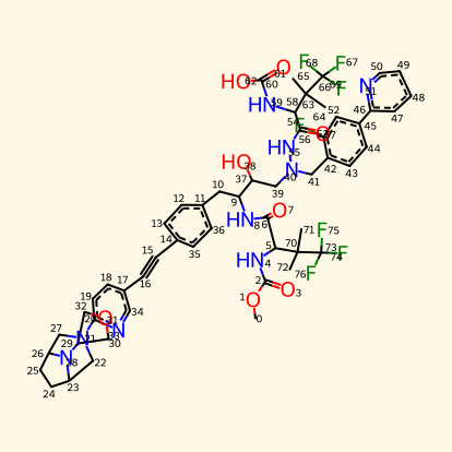 COC(=O)NC(C(=O)NC(Cc1ccc(C#Cc2ccc(N3CC4CCC(C3)N4C3COC3)nc2)cc1)C(O)CN(Cc1ccc(-c2ccccn2)cc1F)NC(=O)C(NC(=O)O)C(C)(C)C(F)(F)F)C(C)(C)C(F)(F)F